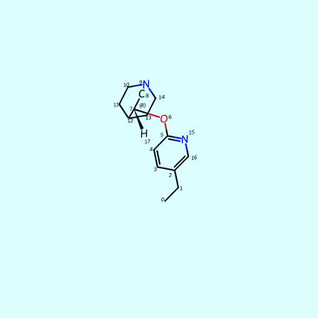 CCc1ccc(O[C@H]2CN3CCC2CC3)nc1